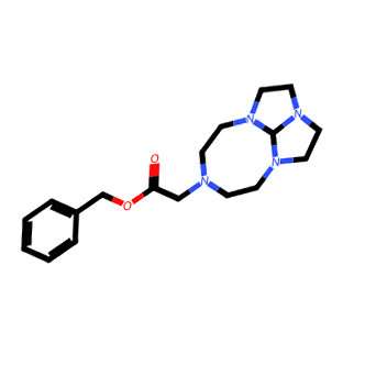 O=C(CN1CCN2CCN3CCN(CC1)C23)OCc1ccccc1